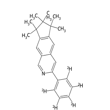 [2H]c1c([2H])c([2H])c(-c2cc3cc4c(cc3cn2)C(C)(C)C(C)(C)C4(C)C)c([2H])c1[2H]